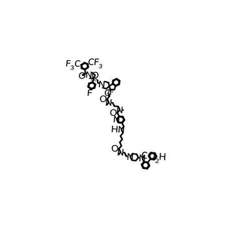 CN(CCN1CCC(N(C(=O)O)c2ccccc2-c2ccccc2)CC1)C(=O)CCCCCNCc1ccc(C(=O)N(C)CCCN(C)C(=O)CO[C@H]2Cc3ccccc3C23CCN(CC[C@]2(c4ccc(F)cc4)CN(C(=O)c4cc(C(F)(F)F)cc(C(F)(F)F)c4)CO2)CC3)nc1